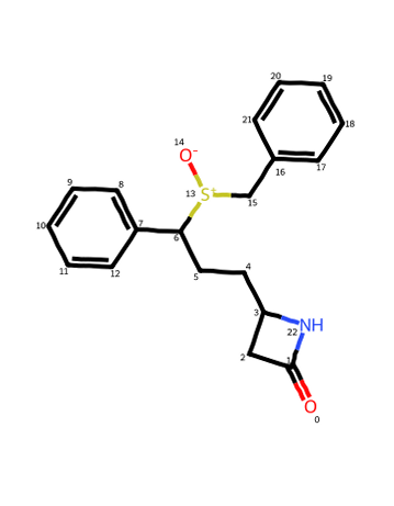 O=C1CC(CCC(c2ccccc2)[S+]([O-])Cc2ccccc2)N1